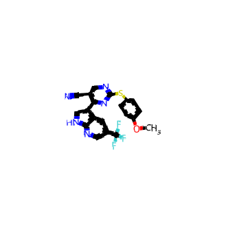 COc1ccc(Sc2ncc(C#N)c(-c3c[nH]c4ncc(C(F)(F)F)cc34)n2)cc1